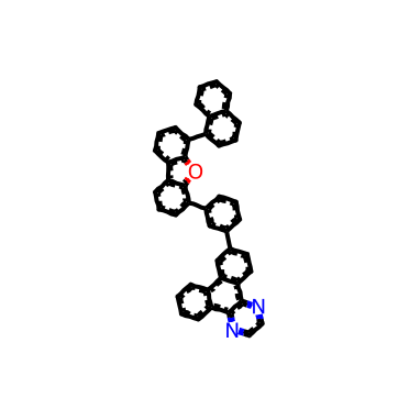 c1cc(-c2ccc3c(c2)c2ccccc2c2nccnc32)cc(-c2cccc3c2oc2c(-c4cccc5ccccc45)cccc23)c1